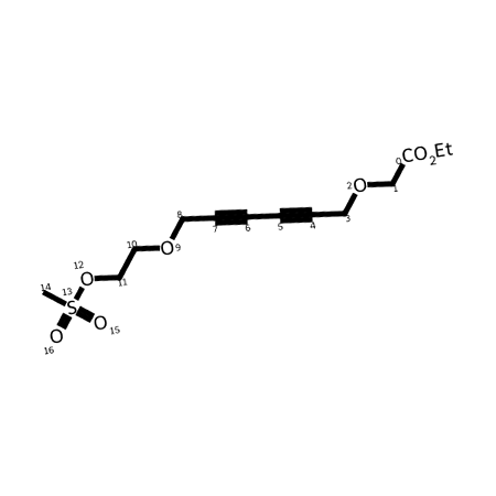 CCOC(=O)COCC#CC#CCOCCOS(C)(=O)=O